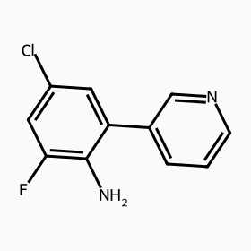 Nc1c(F)cc(Cl)cc1-c1cccnc1